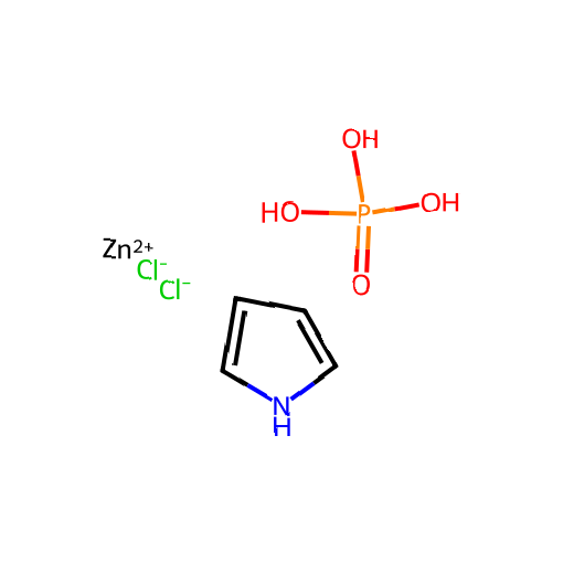 O=P(O)(O)O.[Cl-].[Cl-].[Zn+2].c1cc[nH]c1